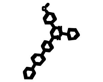 COc1ccc(-c2cc(-c3ccc(-c4ccc(-c5ccccc5)cc4)cc3)nc(-c3ccccc3)n2)cc1